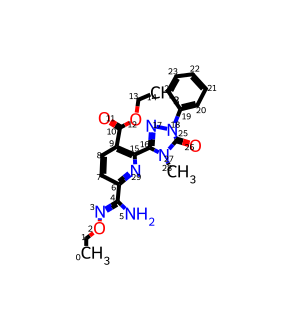 CCO/N=C(\N)c1ccc(C(=O)OCC)c(-c2nn(-c3ccccc3)c(=O)n2C)n1